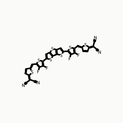 N#CC(C#N)=c1cc/c(=C/c2sc(-c3cc4sc5cc(-c6sc(/C=c7\ccc(=C(C#N)C#N)s7)c(F)c6F)sc5c4s3)c(F)c2F)s1